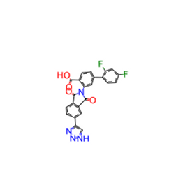 O=C(O)c1ccc(-c2ccc(F)cc2F)cc1N1C(=O)c2ccc(-c3c[nH]nn3)cc2C1=O